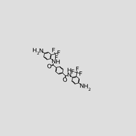 Nc1ccc(NC(=O)c2ccc(C(=O)Nc3ccc(N)cc3C(F)(F)F)cc2)c(C(F)(F)F)c1